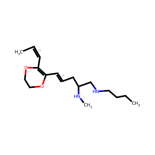 C/C=C\C1=C(/C=C/CC(CNCCCC)NC)OCCO1